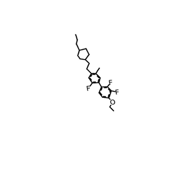 CCCC1CCC(CCc2cc(F)c(-c3ccc(OCC)c(F)c3F)cc2C)CC1